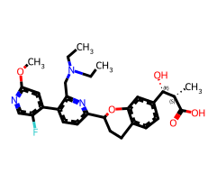 CCN(CC)Cc1nc(C2CCc3ccc([C@H](O)[C@H](C)C(=O)O)cc3O2)ccc1-c1cc(OC)ncc1F